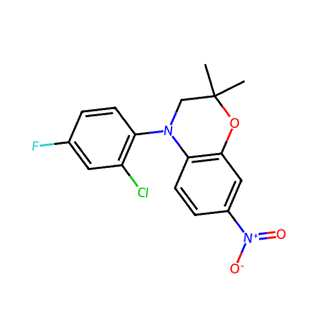 CC1(C)CN(c2ccc(F)cc2Cl)c2ccc([N+](=O)[O-])cc2O1